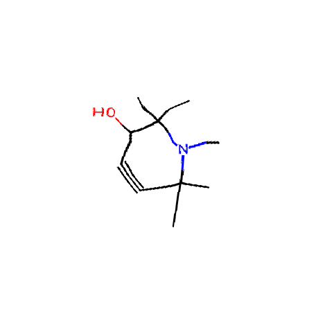 CN1C(C)(C)C#CC(O)C1(C)C